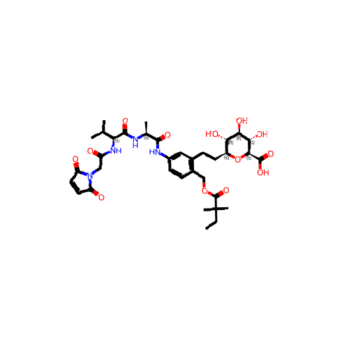 CCC(C)(C)C(=O)OCc1ccc(NC(=O)[C@H](C)NC(=O)[C@@H](NC(=O)CN2C(=O)C=CC2=O)C(C)C)cc1CC[C@@H]1O[C@H](C(=O)O)[C@@H](O)[C@H](O)[C@H]1O